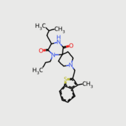 CCCN1C(=O)C(CC(C)C)NC(=O)C12CCN(Cc1sc3ccccc3c1C)CC2